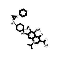 CC[C@]1(Nc2cc3c(c(N)c2F)c(=O)c(C(=O)O)cn3C(C)C)CC[C@H](N[C@H]2C[C@@H]2c2ccccc2)CC1